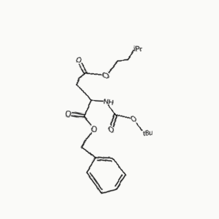 CC(C)CCOC(=O)CC(NC(=O)OC(C)(C)C)C(=O)OCc1ccccc1